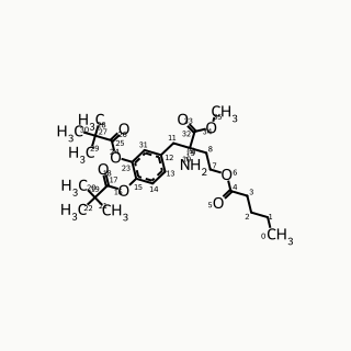 CCCCC(=O)OCC[C@@](N)(Cc1ccc(OC(=O)C(C)(C)C)c(OC(=O)C(C)(C)C)c1)C(=O)OC